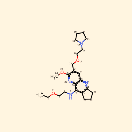 CCOCCNc1c2c(nc3cc(COCCN4CCCC4)c(OC)nc13)CCC2